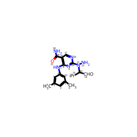 Cc1cc(C)cc(Nc2nc(N(N)C(C=O)C(C)C)ncc2C(N)=O)c1